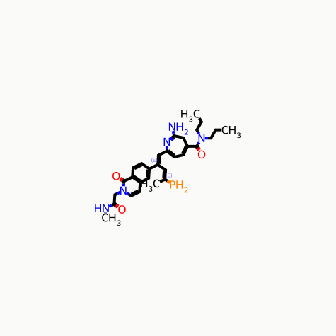 CCCN(CCC)C(=O)C1=CC=C(/C=C(\C=C(/C)P)c2ccc3c(=O)n(CC(=O)NC)ccc3c2)N=C(N)C1